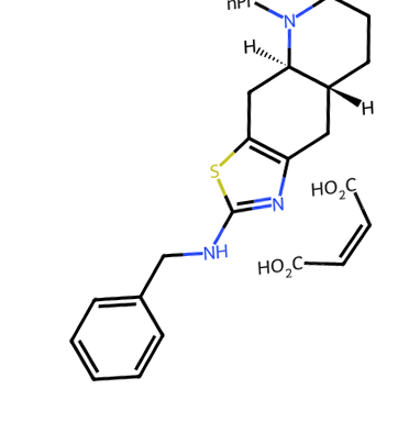 CCCN1CCC[C@@H]2Cc3nc(NCc4ccccc4)sc3C[C@H]21.O=C(O)/C=C\C(=O)O